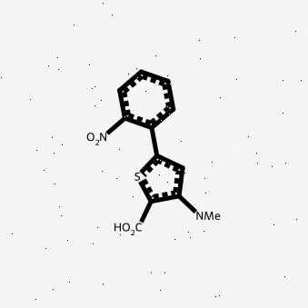 CNc1cc(-c2ccccc2[N+](=O)[O-])sc1C(=O)O